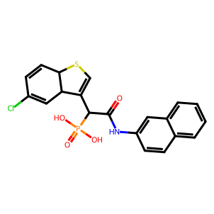 O=C(Nc1ccc2ccccc2c1)C(C1=CSC2C=CC(Cl)=CC12)P(=O)(O)O